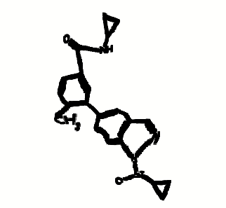 Cc1ccc(C(=O)NC2CC2)cc1-c1ccc2c(cnn2[S+]([O-])C2CC2)c1